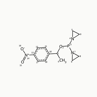 CC(OP(N1CC1)N1CC1)c1ccc([N+](=O)[O-])cc1